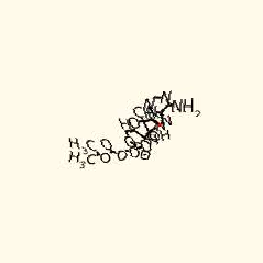 CC(C)OC(=O)OCOP1(=O)OC[C@H]2O[C@@](C)(c3cnc4c(N)ncnn34)[C@@](O)(C#N)[C@@H]2O1